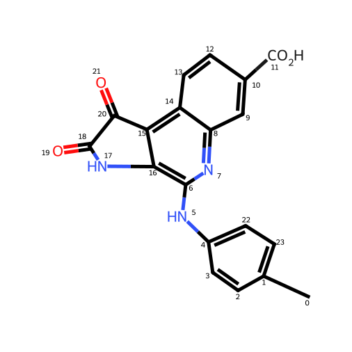 Cc1ccc(Nc2nc3cc(C(=O)O)ccc3c3c2NC(=O)C3=O)cc1